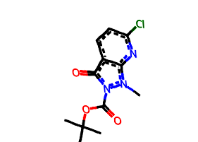 Cn1c2nc(Cl)ccc2c(=O)n1C(=O)OC(C)(C)C